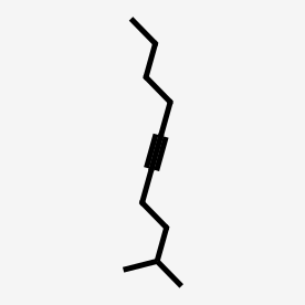 CCCCC#CCCC(C)C